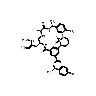 CN/C(=C\S)C[C@@H](CN[C@@H](C)C(=O)N[C@H](C)c1ccc(N)cc1)NC(=O)c1cc(C(=O)N[C@H](C)c2ccc(Br)cc2)cc(N2CCCNS2(=O)=O)c1